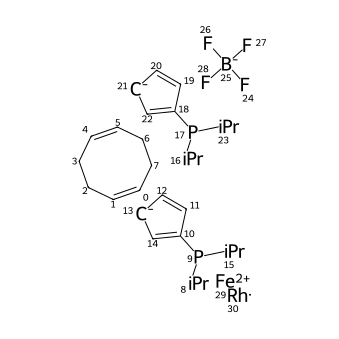 C1=C\CC/C=C\CC/1.CC(C)P(c1cc[cH-]c1)C(C)C.CC(C)P(c1cc[cH-]c1)C(C)C.F[B-](F)(F)F.[Fe+2].[Rh]